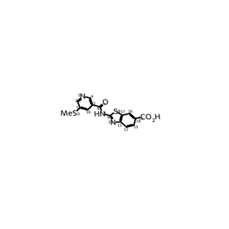 CSc1cncc(C(=O)Nc2nc3ccc(C(=O)O)cc3s2)c1